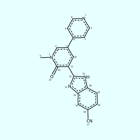 Cn1cc(-c2ccncc2)cc(-c2nc3cc(C#N)ccc3[nH]2)c1=O